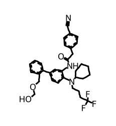 N#Cc1ccc(CC(=O)Nc2cc(-c3ccccc3COCO)ccc2N(CCCC(F)(F)F)C2CCCCC2)cc1